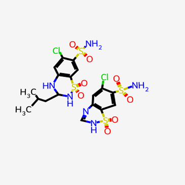 CC(C)CC1Nc2cc(Cl)c(S(N)(=O)=O)cc2S(=O)(=O)N1.NS(=O)(=O)c1cc2c(cc1Cl)N=CNS2(=O)=O